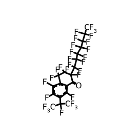 O=C1c2c(F)c(C(F)(C(F)(F)F)C(F)(F)F)c(F)c(F)c2C(F)(F)C(F)(F)C1(F)C(F)(F)C(F)(F)C(F)(F)C(F)(F)C(F)(F)C(F)(F)C(F)(F)F